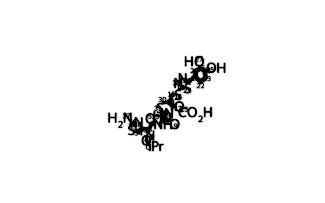 CC(C)ON=C(C(=O)N[C@@H]1C(=O)N2C(OC(=O)O)=C(CSc3nnc(-c4ccc(O)c(O)c4)s3)CS[C@@H]12)c1csc(N)n1